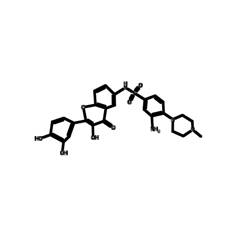 CN1CCN(c2ccc(S(=O)(=O)Nc3ccc4oc(-c5ccc(O)c(O)c5)c(O)c(=O)c4c3)cc2N)CC1